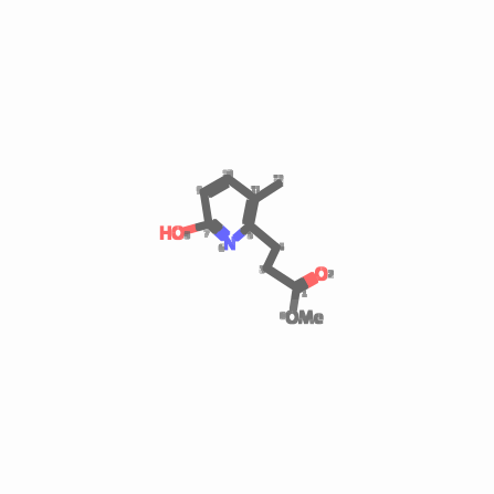 COC(=O)CCc1nc(O)ccc1C